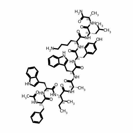 CC[C@H](C)[C@H](NC(=O)[C@H](Cc1c[nH]c2ccccc12)NC(=O)[C@H](Cc1ccccc1)NC(C)=O)C(=O)N[C@@H](C)C(=O)N[C@@H](Cc1c[nH]c2ccccc12)C(=O)N[C@@H](Cc1ccc(O)cc1)C(=O)N[C@@H](CCCCN)C(=O)N[C@@H](CC(C)C)C(=O)N[C@@H](C)C(N)=O